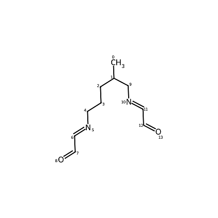 CC(CCCN=CC=O)CN=CC=O